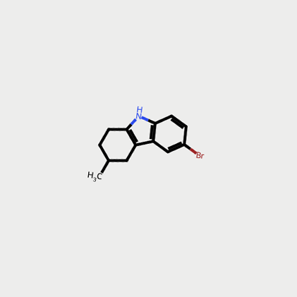 CC1CCc2[nH]c3ccc(Br)cc3c2C1